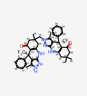 Cc1[nH]nc2c1[C@@](c1ccccc1)(C(F)(F)F)C1=C(CC(C)(Cn3nc4c(c3C)[C@](c3ccccc3)(C(F)(F)F)C3=C(CC(C)(C)CC3=O)N4)CC1=O)N2